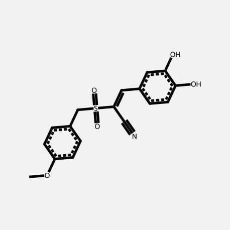 COc1ccc(CS(=O)(=O)/C(C#N)=C/c2ccc(O)c(O)c2)cc1